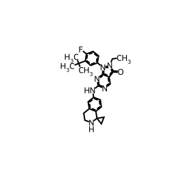 CCn1c(=O)c2cnc(Nc3ccc4c(c3)CCNC43CC3)nc2n1-c1ccc(F)c(C(C)(C)C)c1